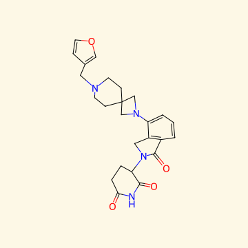 O=C1CCC(N2Cc3c(cccc3N3CC4(CCN(Cc5ccoc5)CC4)C3)C2=O)C(=O)N1